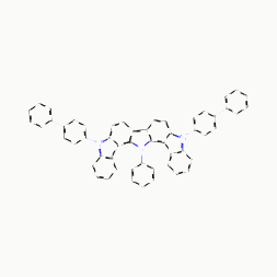 c1ccc(-c2ccc(-n3c4ccccc4c4c3ccc3c5ccc6c(c7ccccc7n6-c6ccc(-c7ccccc7)cc6)c5n(-c5ccccc5)c34)cc2)cc1